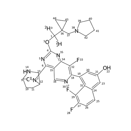 [2H]C([2H])(Oc1nc(N2CC3CCC2CN3)c2cnc(-c3cc(O)cc4ccc(F)c(F)c34)c(F)c2n1)C1(CN2CCCC2)CC1